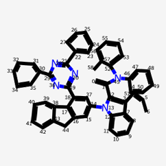 C=C(c1c(/C=C\C)c2ccccc2n1-c1cc2c(c(-c3nc(-c4ccccc4)nc(-c4ccccc4)n3)c1)-c1ccccc1C2)N(c1ccccc1)c1ccccc1C